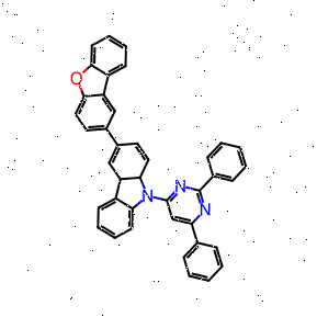 C1=CC2C(C=C1c1ccc3oc4ccccc4c3c1)c1ccccc1N2c1cc(-c2ccccc2)nc(-c2ccccc2)n1